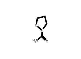 NC(=O)N1CCCO1